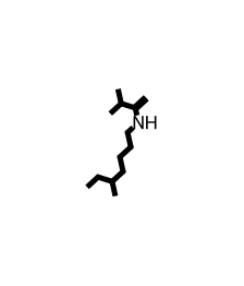 C=C(NCCCCC(C)CC)C(C)C